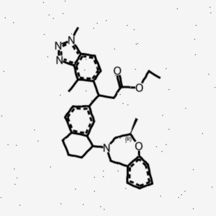 CCOC(=O)CC(c1ccc2c(c1)C(N1Cc3ccccc3O[C@H](C)C1)CCC2)c1ccc2c(nnn2C)c1C